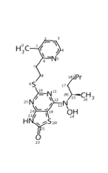 Cc1cccnc1CCSc1nc(N(O)[C@H](C)CC(C)C)c2sc(=O)[nH]c2n1